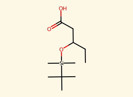 CCC(CC(=O)O)O[Si](C)(C)C(C)(C)C